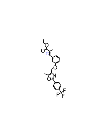 CCOC(=O)/C(C)=C/c1cccc(OCc2nc(-c3ccc(C(F)(F)F)cc3)oc2C)c1